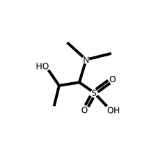 CC(O)C(N(C)C)S(=O)(=O)O